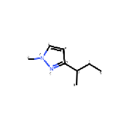 CCC(C)c1c[c]n(C)n1